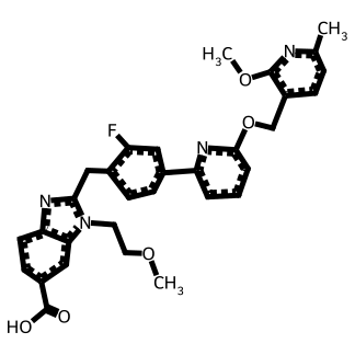 COCCn1c(Cc2ccc(-c3cccc(OCc4ccc(C)nc4OC)n3)cc2F)nc2ccc(C(=O)O)cc21